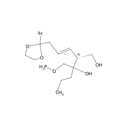 [2H]C1(C/C=C/[C@H](CO)C(O)(CCC)COP)OCCO1